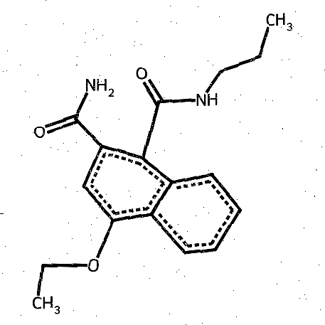 CCCNC(=O)c1c(C(N)=O)cc(OCC)c2ccccc12